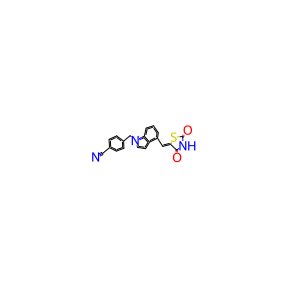 N#Cc1ccc(Cn2ccc3c(C=C4SC(=O)NC4=O)cccc32)cc1